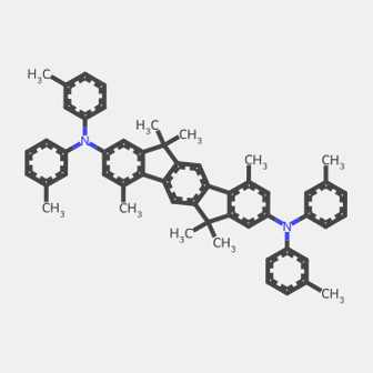 Cc1cccc(N(c2cccc(C)c2)c2cc(C)c3c(c2)C(C)(C)c2cc4c(cc2-3)C(C)(C)c2cc(N(c3cccc(C)c3)c3cccc(C)c3)cc(C)c2-4)c1